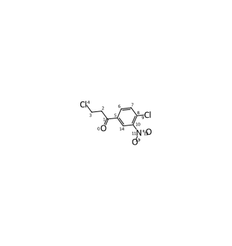 O=C(CCCl)c1ccc(Cl)c([N+](=O)[O-])c1